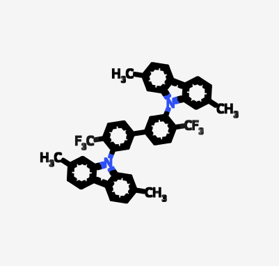 Cc1ccc2c3ccc(C)cc3n(-c3cc(-c4ccc(C(F)(F)F)c(-n5c6cc(C)ccc6c6ccc(C)cc65)c4)ccc3C(F)(F)F)c2c1